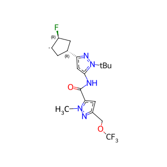 Cn1nc(COC(F)(F)F)cc1C(=O)Nc1cc([C@@H]2C[CH][C@@H](F)C2)nn1C(C)(C)C